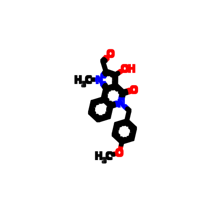 COc1ccc(Cn2c(=O)c3c(O)c(C=O)n(C)c3c3ccccc32)cc1